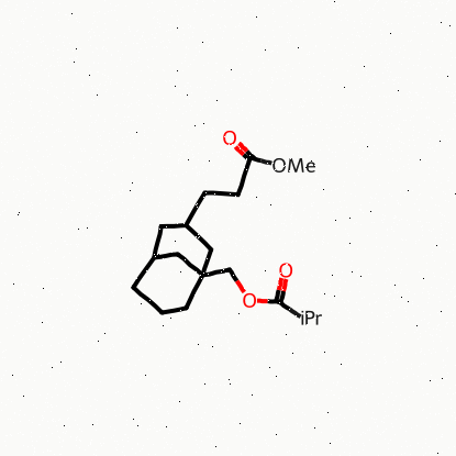 COC(=O)CCC1CC2CCCC(COC(=O)C(C)C)(C2)C1